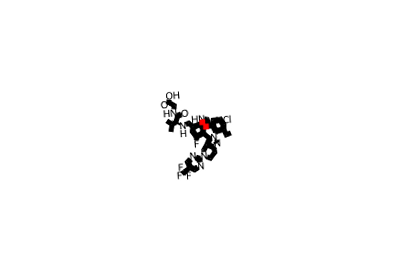 CCc1cccc(CC)c1-n1nc2c(c1-c1c(F)cc(CN[C@H](C(=O)NCC(=O)O)C(C)C)c3[nH]ccc13)CN(c1ncc(C(F)(F)F)cn1)CC2.Cl